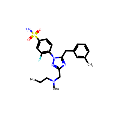 CCCCN(CCC#N)Cc1nc(Cc2cccc(C)c2)n(-c2ccc(S(N)(=O)=O)cc2F)n1